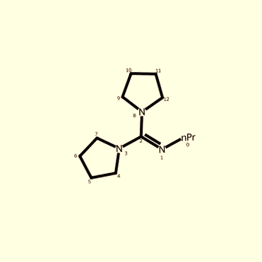 CCCN=C(N1CCCC1)N1CCCC1